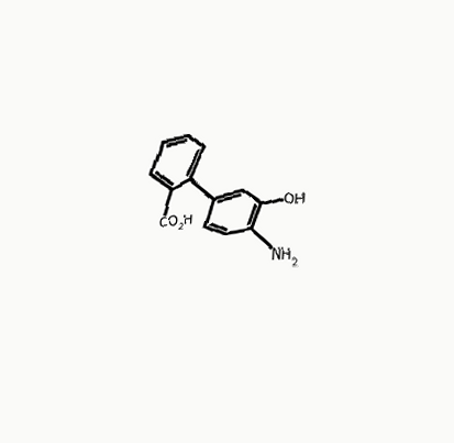 Nc1ccc(-c2ccccc2C(=O)O)cc1O